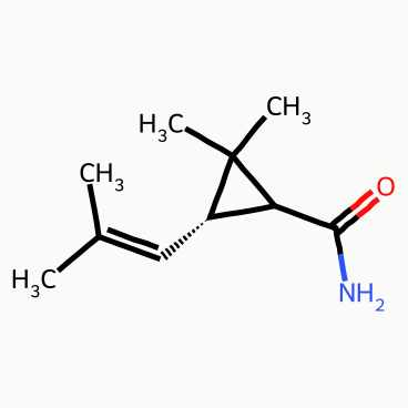 CC(C)=C[C@H]1C(C(N)=O)C1(C)C